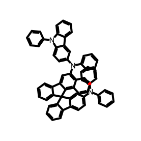 c1ccc(N(c2ccccc2)c2ccc3c(c2)C2(c4ccccc4-3)c3ccccc3-c3cc(N(c4ccccc4)c4ccc5c(c4)c4ccccc4n5-c4ccccc4)c4ccccc4c32)cc1